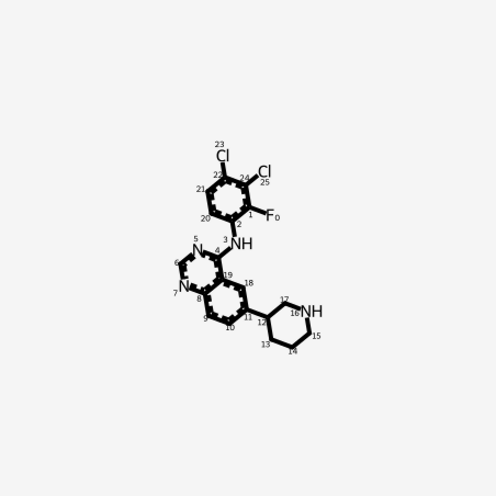 Fc1c(Nc2ncnc3ccc(C4CCCNC4)cc23)ccc(Cl)c1Cl